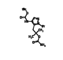 CC(C)n1ncc(NC(=O)OC(C)(C)C)c1CC(C)(C)OC(N)=O